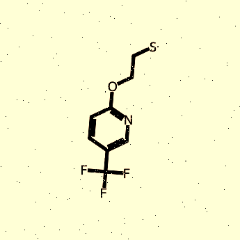 FC(F)(F)c1ccc(OCC[S])nc1